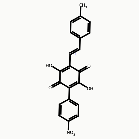 Cc1ccc(/C=C/C2=C(O)C(=O)C(c3ccc([N+](=O)[O-])cc3)=C(O)C2=O)cc1